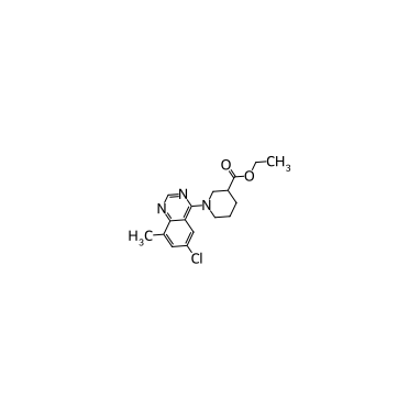 CCOC(=O)C1CCCN(c2ncnc3c(C)cc(Cl)cc23)C1